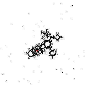 O=C(c1cc(-c2nccs2)c2oc(N3CC4CCC(C3)N4C(=O)O)nc2c1OC(F)(F)F)N1CCC1